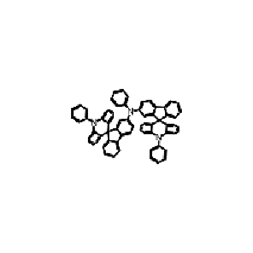 c1ccc(N(c2ccc3c(c2)C2(c4ccccc4-3)c3ccccc3N(c3ccccc3)c3ccccc32)c2ccc3c(c2)C2(c4ccccc4-3)c3ccccc3N(c3ccccc3)c3ccccc32)cc1